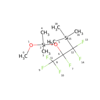 CO[Si](C)(C)OC(F)(C(F)(F)F)C(F)(F)[Si](C)(C)C